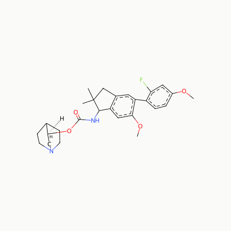 COc1ccc(-c2cc3c(cc2OC)C(NC(=O)O[C@H]2CN4CCC2CC4)C(C)(C)C3)c(F)c1